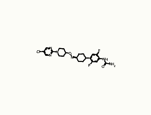 NC(=O)Nc1cc(F)c(C2CCC(=NOC3CCN(c4ncc(Cl)cn4)CC3)CC2)cc1F